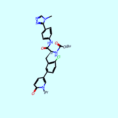 CC(C)COC(=O)N[C@@H](Cc1cc(-c2ccc(=O)n(C(C)C)c2)ccc1Cl)C(=O)Nc1ccc(-c2nncn2C)cc1